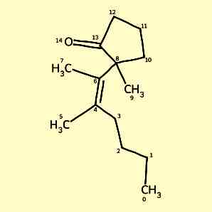 CCCCC(C)=C(C)C1(C)CCCC1=O